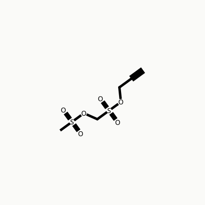 C#CCOS(=O)(=O)COS(C)(=O)=O